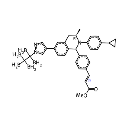 BC(B)(B)C(B)(B)n1cc(-c2ccc3c(c2)C[C@@H](C)N(c2ccc(C4CC4)cc2)C3c2ccc(/C=C/C(=O)OC)cc2)cn1